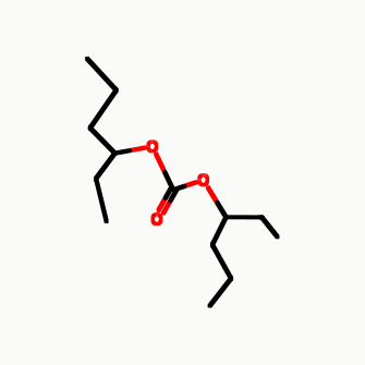 CCCC(CC)OC(=O)OC(CC)CCC